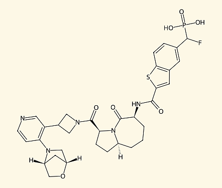 O=C(N[C@H]1CCC[C@H]2CC[C@@H](C(=O)N3CC(c4cnccc4N4C[C@H]5C[C@@H]4CO5)C3)N2C1=O)c1cc2cc(C(F)P(=O)(O)O)ccc2s1